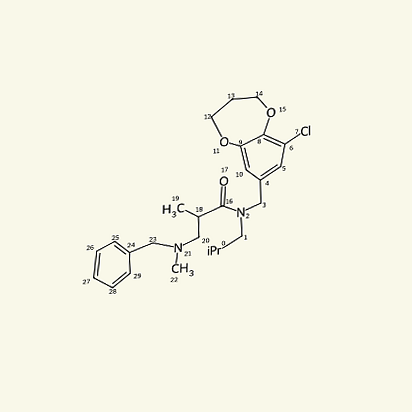 CC(C)CN(Cc1cc(Cl)c2c(c1)OCCCO2)C(=O)C(C)CN(C)Cc1ccccc1